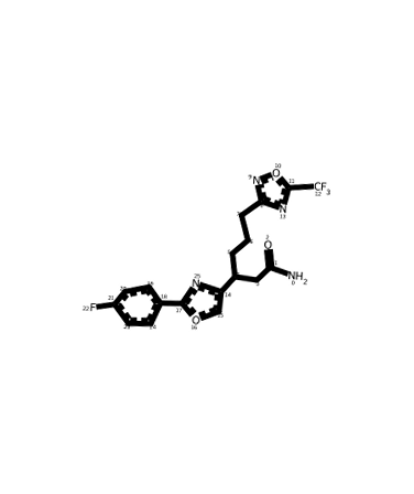 NC(=O)CC(CCCc1noc(C(F)(F)F)n1)c1coc(-c2ccc(F)cc2)n1